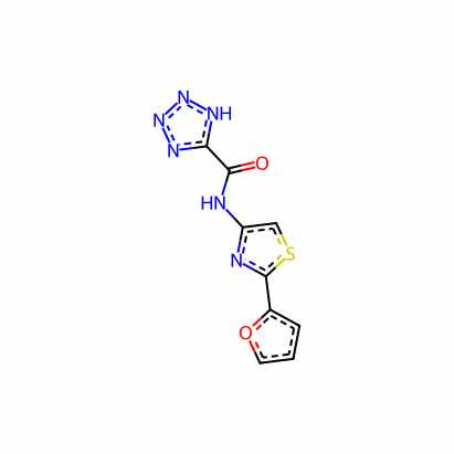 O=C(Nc1csc(-c2ccco2)n1)c1nnn[nH]1